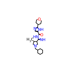 CC1CN(CC2CCCCC2)CC1C(=N)NC(=O)c1cnc(C2CCOCC2)[nH]1